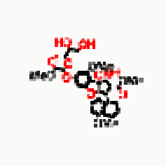 COC(=O)[C@H]1[C@@H](O)[C@@]2(O)c3c(OC)cc(O[C@@H]4O[C@@H]([C@@H](O)CO)CO[C@H]4OC)cc3O[C@@]2(c2ccc(OC)cc2)[C@@H]1c1ccccc1